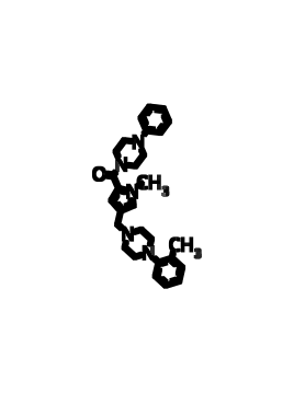 Cc1ccccc1N1CCN(Cc2cc(C(=O)N3CCN(c4ccccc4)CC3)n(C)c2)CC1